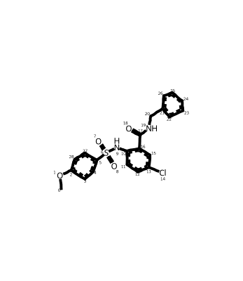 COc1ccc(S(=O)(=O)Nc2ccc(Cl)cc2C(=O)NCc2ccccc2)cc1